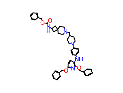 O=C(NC1CC2(CCN(CC3CCN(c4ccc(Nc5ccc(OCc6ccccc6)nc5OCc5ccccc5)cc4)CC3)CC2)C1)OCc1ccccc1